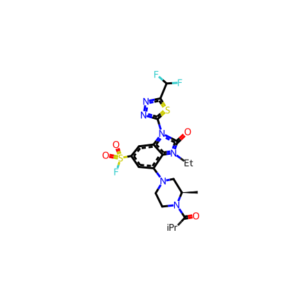 CCn1c(=O)n(-c2nnc(C(F)F)s2)c2cc(S(=O)(=O)F)cc(N3CCN(C(=O)C(C)C)[C@H](C)C3)c21